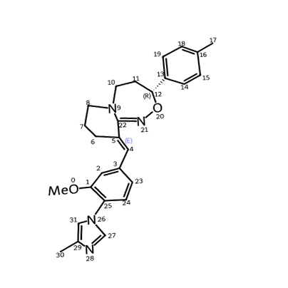 COc1cc(/C=C2\CCCN3CC[C@H](c4ccc(C)cc4)ON=C23)ccc1-n1cnc(C)c1